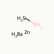 B[SiH3].[BaH2].[Zn]